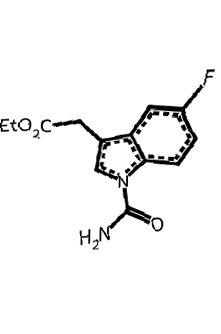 CCOC(=O)Cc1cn(C(N)=O)c2ccc(F)cc12